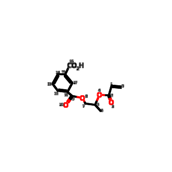 C=CC(=O)OC(C)COC(=O)c1cccc(C(=O)O)c1